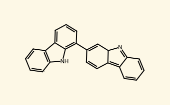 [c]1cccc2c1[nH]c1c(C3=CC4N=c5ccccc5=C4C=C3)cccc12